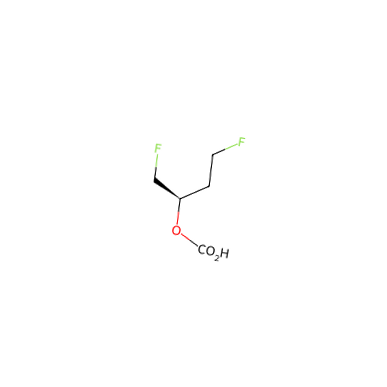 O=C(O)O[C@@H](CF)CCF